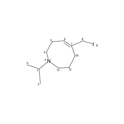 CC(C)N1CC/C=C(/CI)CCC1